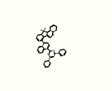 CC1(C)c2cccc(-c3ccc(-c4nc(-c5ccccc5)cc(-c5ccccc5)n4)c4ccccc34)c2-c2ccc3ccccc3c21